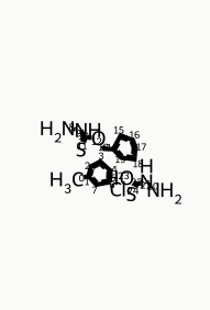 Cc1cccc(Cl)c1.NNC(=S)OCc1ccccc1.NNC(O)=S